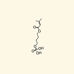 CC(C)=CC(=O)OCCCCOP(=O)(O)O